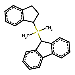 CS(C)(C1CCc2ccccc21)C1c2ccccc2-c2ccccc21